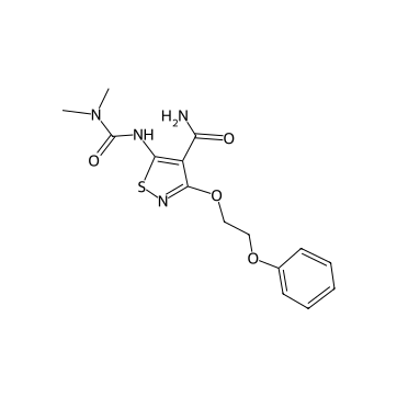 CN(C)C(=O)Nc1snc(OCCOc2ccccc2)c1C(N)=O